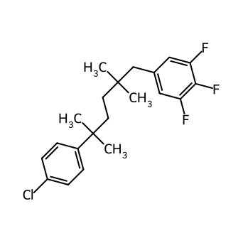 CC(C)(CCC(C)(C)c1ccc(Cl)cc1)Cc1cc(F)c(F)c(F)c1